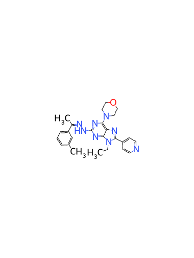 CCn1c(-c2ccncc2)nc2c(N3CCOCC3)nc(NN=C(C)c3cccc(C)c3)nc21